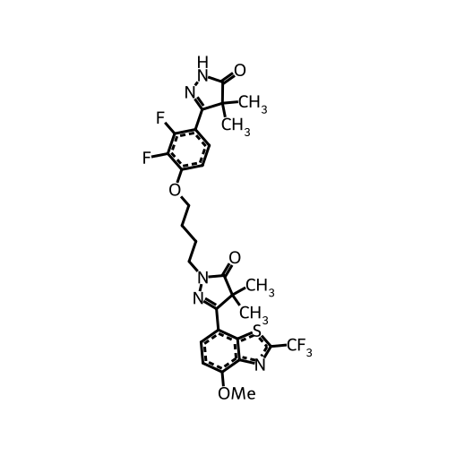 COc1ccc(C2=NN(CCCCOc3ccc(C4=NNC(=O)C4(C)C)c(F)c3F)C(=O)C2(C)C)c2sc(C(F)(F)F)nc12